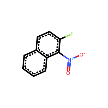 O=[N+]([O-])c1c(F)ccc2ccccc12